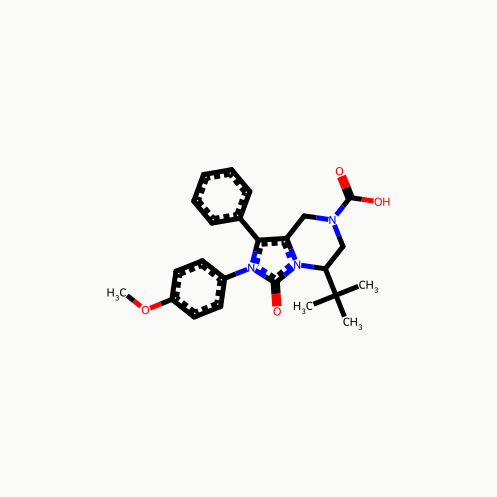 COc1ccc(-n2c(-c3ccccc3)c3n(c2=O)C(C(C)(C)C)CN(C(=O)O)C3)cc1